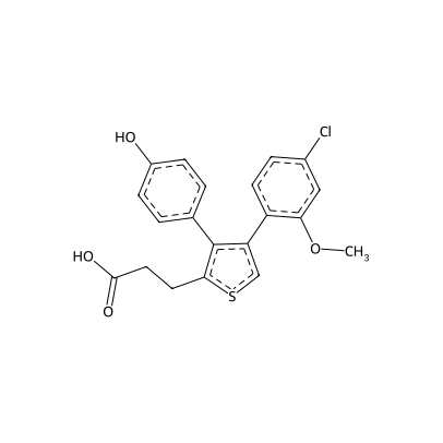 COc1cc(Cl)ccc1-c1csc(CCC(=O)O)c1-c1ccc(O)cc1